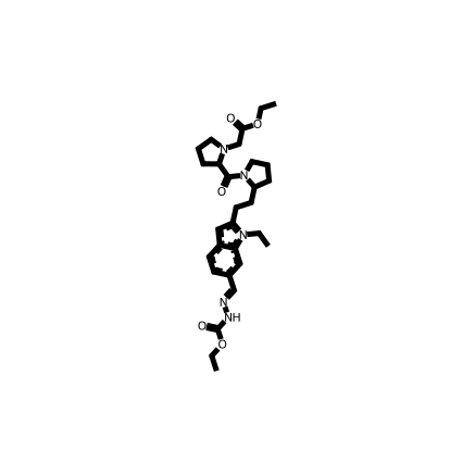 CCOC(=O)CN1CCCC1C(=O)N1CCCC1CCc1cc2ccc(C=NNC(=O)OCC)cc2n1CC